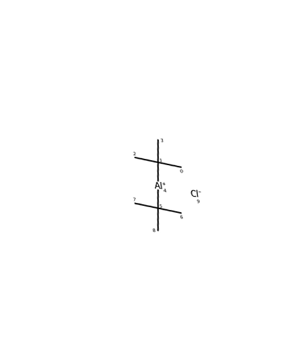 C[C](C)(C)[Al+][C](C)(C)C.[Cl-]